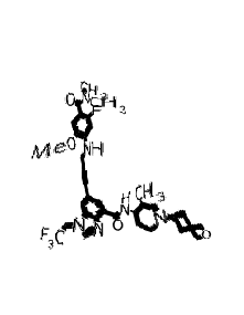 COc1cc(C(=O)N(C)C)c(F)cc1NCC#Cc1cc(C(=O)N[C@H]2CCN(C3CC4(COC4)C3)C[C@@H]2C)c2ncn(CC(F)(F)F)c2c1